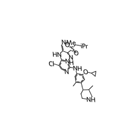 CN/C=C(/Nc1nc(Nc2cc(C)c(C3CCNCC3C)cc2OC2CC2)ncc1Cl)C(=N)S(=O)(=O)CC(C)C